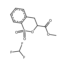 COC(=O)C1Cc2ccccc2S(=O)(=O)O1.FC(F)F